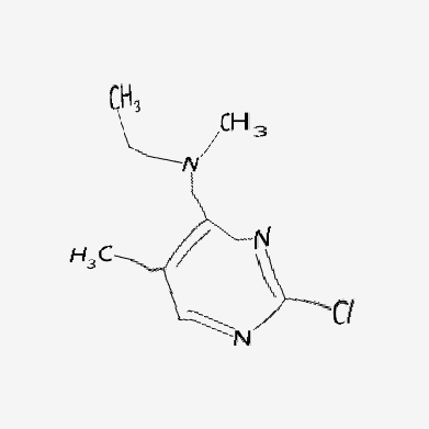 CCN(C)c1nc(Cl)ncc1C